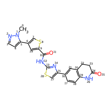 Cn1nccc1-c1csc(C(=O)Nc2nc(-c3ccc4c(c3)CCC(=O)N4)cs2)c1